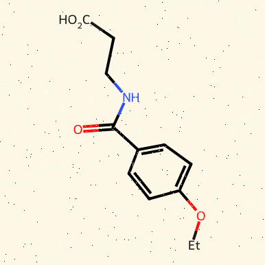 CCOc1ccc(C(=O)NCCC(=O)O)cc1